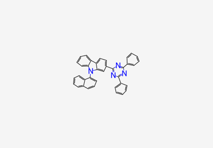 c1ccc(-c2nc(-c3ccccc3)nc(-c3ccc4c5ccccc5n(-c5cccc6ccccc56)c4c3)n2)cc1